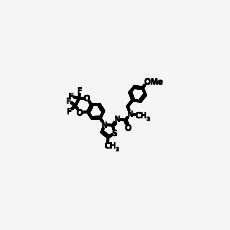 COc1ccc(CN(C)C(=O)/N=c2\sc(C)cn2-c2ccc3c(c2)OC(F)(F)C(F)(F)O3)cc1